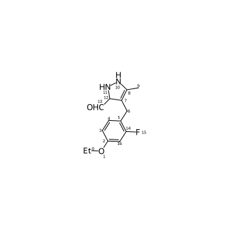 CCOc1ccc(CC2=C(C)NNC2C=O)c(F)c1